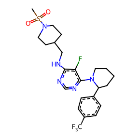 CS(=O)(=O)N1CCC(CNc2ncnc(N3CCCCC3c3ccc(C(F)(F)F)cc3)c2F)CC1